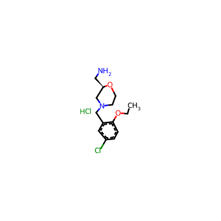 CCOc1ccc(Cl)cc1CN1CCO[C@H](CN)C1.Cl